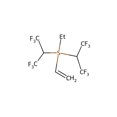 C=CS(CC)(C(C(F)(F)F)C(F)(F)F)C(C(F)(F)F)C(F)(F)F